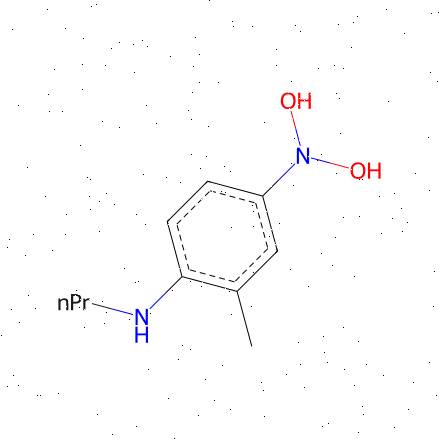 CCCNc1ccc(N(O)O)cc1C